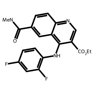 CCOC(=O)c1cnc2ccc(C(=O)NC)cc2c1Nc1ccc(F)cc1F